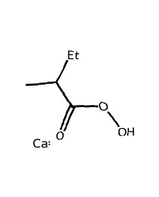 CCC(C)C(=O)OO.[Ca]